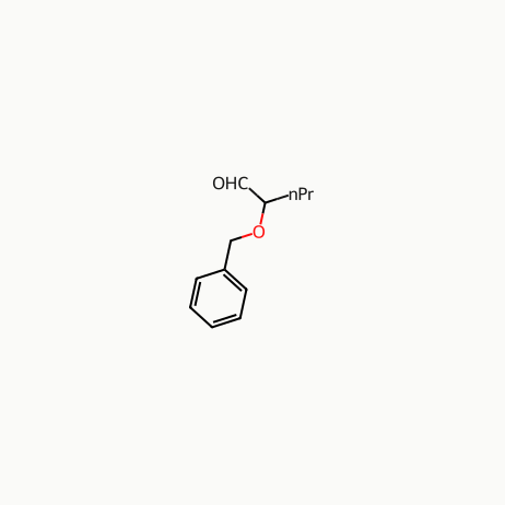 CCCC(C=O)OCc1ccccc1